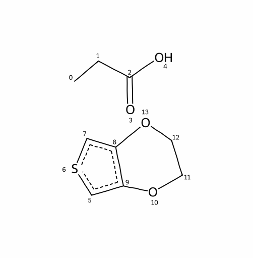 CCC(=O)O.c1scc2c1OCCO2